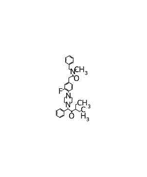 CCC(CC)C(=O)C(c1ccccc1)N1CCN(c2ccc(CC(=O)N(C)Cc3ccccc3)cc2F)CC1